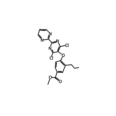 CCCc1cc(C(=O)OC)ccc1Oc1c(Cl)nc(-c2ncccn2)nc1Cl